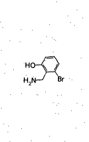 NCc1c(O)cccc1Br